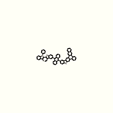 C=Cc1c(-c2c(C)c3ccccc3n2-c2ccccc2)oc2ccc(-c3c4ccccc4c(-c4ccc5sc6cc7c8ccccc8c8cc9ccccc9cc8c7cc6c5c4)c4ccccc34)cc12